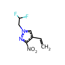 C=Cc1cn(CC(F)F)nc1[N+](=O)[O-]